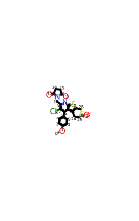 COc1ccc(-c2c(Cl)c(CN3C(=O)CCC3=O)nc3sc4c(c23)CC[S@@+]([O-])C4)cc1